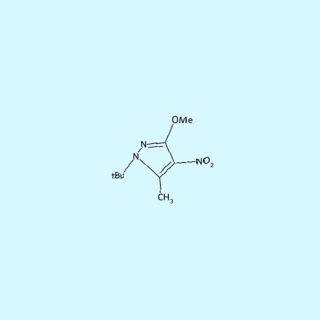 COc1nn(C(C)(C)C)c(C)c1[N+](=O)[O-]